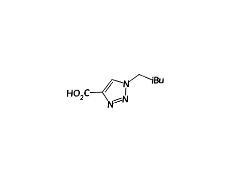 CCC(C)Cn1cc(C(=O)O)nn1